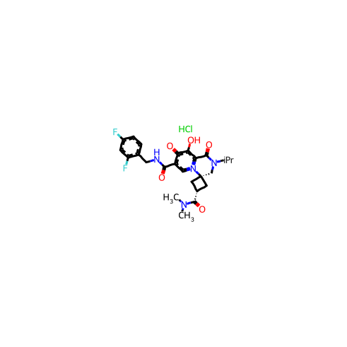 CC(C)N1C[C@]2(C[C@@H](C(=O)N(C)C)C2)n2cc(C(=O)NCc3ccc(F)cc3F)c(=O)c(O)c2C1=O.Cl